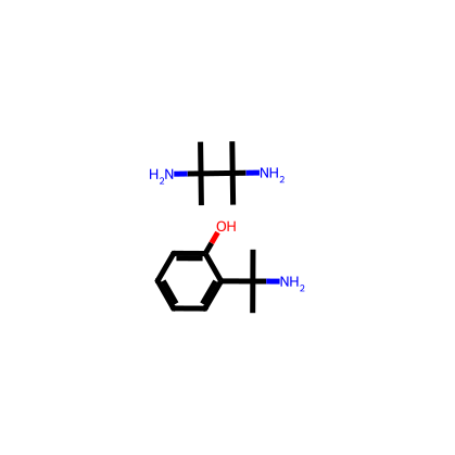 CC(C)(N)C(C)(C)N.CC(C)(N)c1ccccc1O